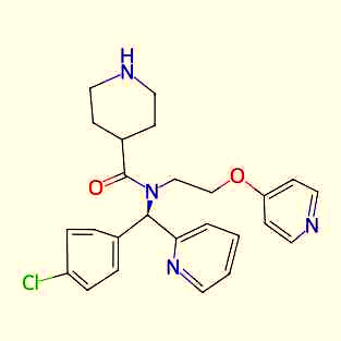 O=C(C1CCNCC1)N(CCOc1ccncc1)[C@H](c1ccc(Cl)cc1)c1ccccn1